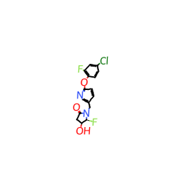 O=C1C[C@H](O)[C@H](F)N1Cc1ccc(Oc2ccc(Cl)cc2F)nc1